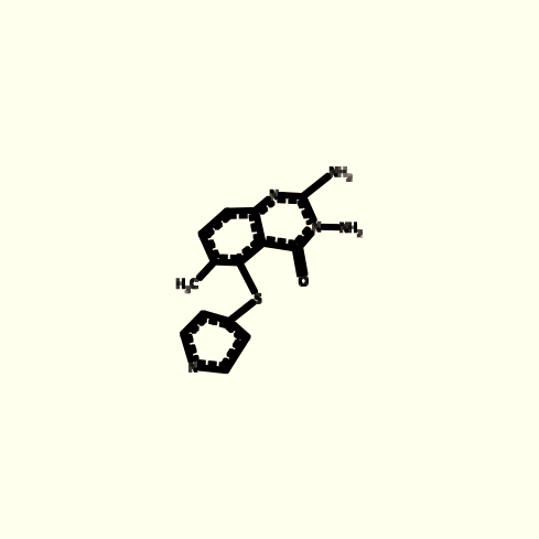 Cc1ccc2nc(N)n(N)c(=O)c2c1Sc1ccncc1